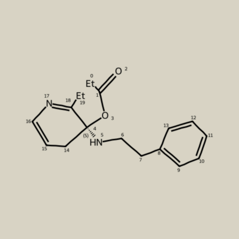 CCC(=O)O[C@@]1(NCCc2ccccc2)CC=CN=C1CC